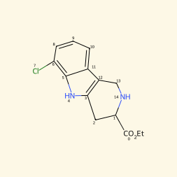 CCOC(=O)C1Cc2[nH]c3c(Cl)cccc3c2CN1